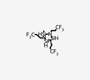 C[SiH]1N(CCC(F)(F)F)[SiH](C)N(CCC(F)(F)F)[SiH](C)N1CCC(F)(F)F